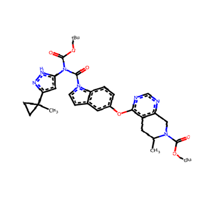 CC1Cc2c(ncnc2Oc2ccc3c(ccn3C(=O)N(C(=O)OC(C)(C)C)c3cc(C4(C)CC4)n[nH]3)c2)CN1C(=O)OC(C)(C)C